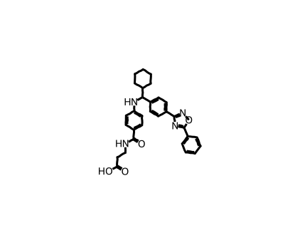 O=C(O)CCNC(=O)c1ccc(NC(c2ccc(-c3noc(-c4ccccc4)n3)cc2)C2CCCCC2)cc1